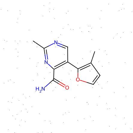 Cc1ncc(-c2occc2C)c(C(N)=O)n1